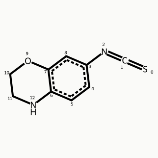 S=C=Nc1ccc2c(c1)OCCN2